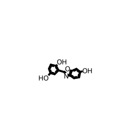 Oc1ccc(O)c(-c2nc3ccc(O)cc3o2)c1